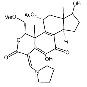 COC[C@H]1OC(=O)/C(=C/N2CCCC2)C2=C(O)C(=O)C3=C([C@H](OC(C)=O)CC4(C)C(O)CC[C@@H]34)C21C